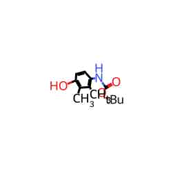 Cc1c(O)ccc(NC(=O)OC(C)(C)C)c1C